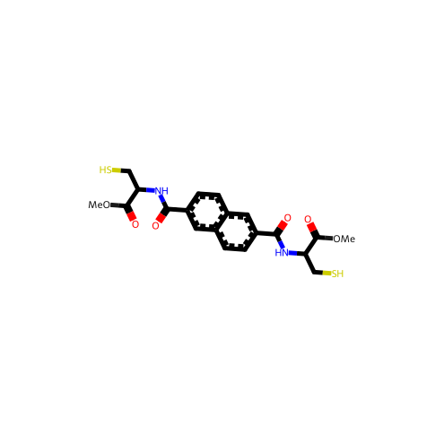 COC(=O)C(CS)NC(=O)c1ccc2cc(C(=O)NC(CS)C(=O)OC)ccc2c1